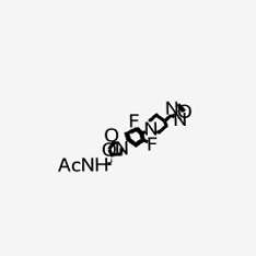 CC(=O)NC[C@H]1CN(c2cc(F)c(N3CCC(c4ncon4)CC3)c(F)c2)C(=O)O1